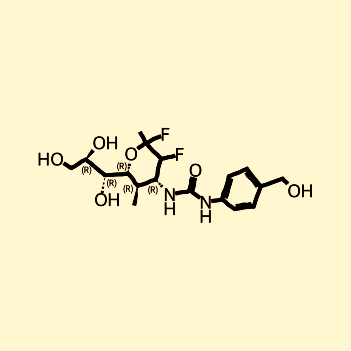 C[C@H]1[C@H]([C@H](O)[C@H](O)CO)OC(C)(F)C(F)[C@@H]1NC(=O)Nc1ccc(CO)cc1